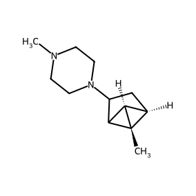 CN1CCN(C2C[C@@H]3[C@@H]4C2[C@@]34C)CC1